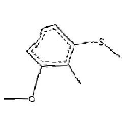 COc1cccc(SC)c1C